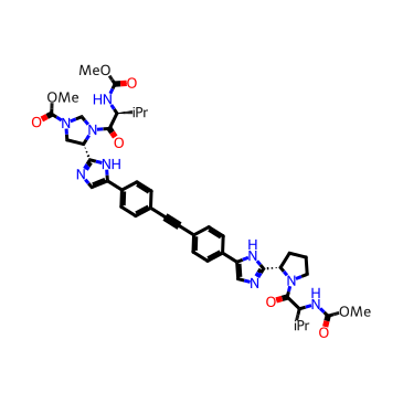 COC(=O)NC(C(=O)N1CCC[C@H]1c1ncc(-c2ccc(C#Cc3ccc(-c4cnc([C@@H]5CN(C(=O)OC)CN5C(=O)[C@@H](NC(=O)OC)C(C)C)[nH]4)cc3)cc2)[nH]1)C(C)C